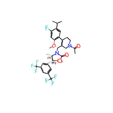 COc1cc(F)c(C(C)C)cc1C1=C(CN2C(=O)O[C@H](c3cc(C(F)(F)F)cc(C(F)(F)F)c3)[C@@H]2C)CN(C(C)=O)CC1